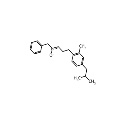 Cc1cc(CC(C)C)ccc1CCC=[N+]([O-])Cc1ccccc1